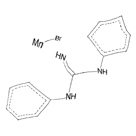 N=C(Nc1ccccc1)Nc1ccccc1.[Mn][Br]